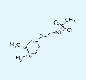 C[C@@H]1C=C(OCCNS(C)(=O)=O)C=C[C@@H]1C